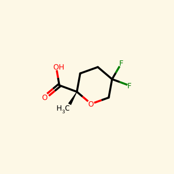 C[C@@]1(C(=O)O)CCC(F)(F)CO1